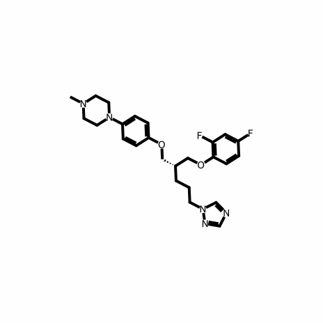 CN1CCN(c2ccc(OC[C@@H](CCCn3cncn3)COc3ccc(F)cc3F)cc2)CC1